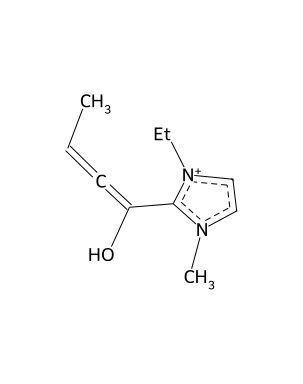 CC=C=C(O)c1n(C)cc[n+]1CC